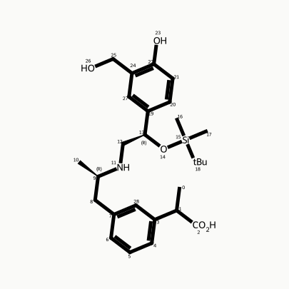 CC(C(=O)O)c1cccc(C[C@@H](C)NC[C@H](O[Si](C)(C)C(C)(C)C)c2ccc(O)c(CO)c2)c1